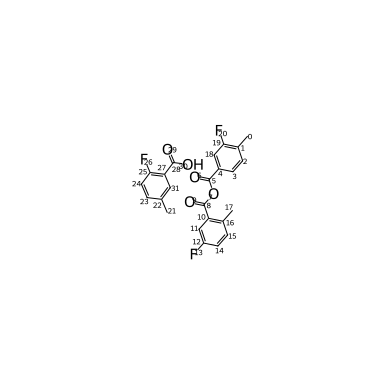 Cc1ccc(C(=O)OC(=O)c2cc(F)ccc2C)cc1F.Cc1ccc(F)c(C(=O)O)c1